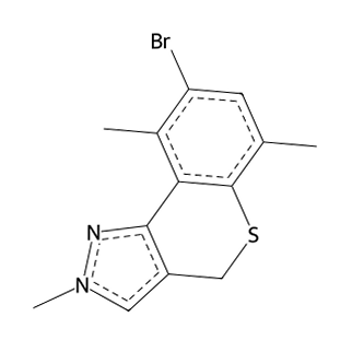 Cc1cc(Br)c(C)c2c1SCc1cn(C)nc1-2